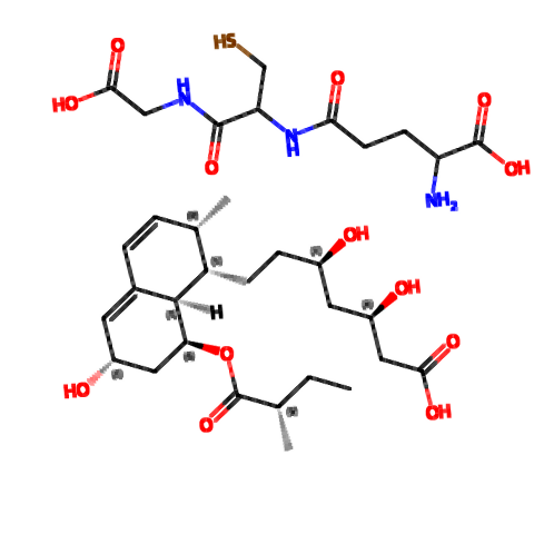 CC[C@H](C)C(=O)O[C@H]1C[C@H](O)C=C2C=C[C@H](C)[C@H](CC[C@@H](O)C[C@@H](O)CC(=O)O)[C@H]21.NC(CCC(=O)NC(CS)C(=O)NCC(=O)O)C(=O)O